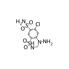 NN1CNS(=O)(=O)c2cc(S(N)(=O)=O)c(Cl)cc21